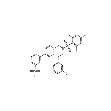 Cc1cc(C)c(S(=O)(=O)N(CCc2cccc(Cl)c2)Cc2ccc(-c3cccc(S(C)(=O)=O)c3)cc2)c(C)c1